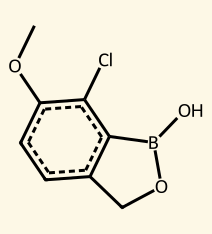 COc1ccc2c(c1Cl)B(O)OC2